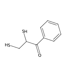 O=C(c1ccccc1)C(S)CS